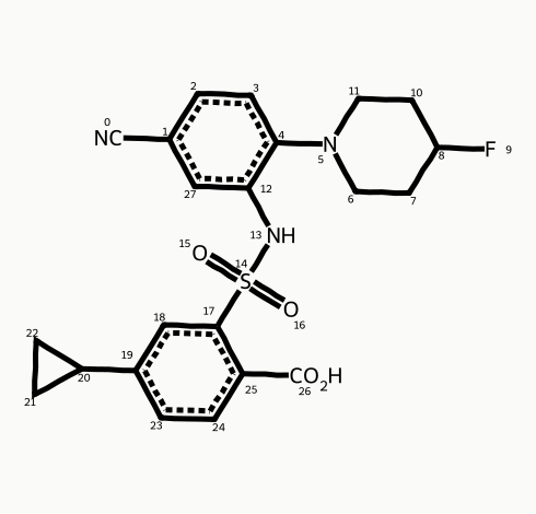 N#Cc1ccc(N2CCC(F)CC2)c(NS(=O)(=O)c2cc(C3CC3)ccc2C(=O)O)c1